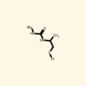 CCSCC(C)NC(=O)NC(C)(C)C